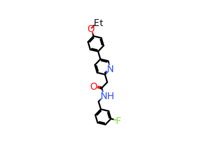 CCOc1ccc(-c2ccc(CC(=O)NCc3cccc(F)c3)nc2)cc1